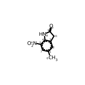 Cc1cc2c(c([N+](=O)[O-])c1)NC(=O)C2